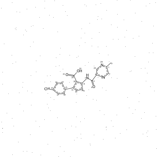 Cc1cnc(C(=O)Nc2scc(-c3ccc(Cl)cc3)c2C(=O)O)cn1